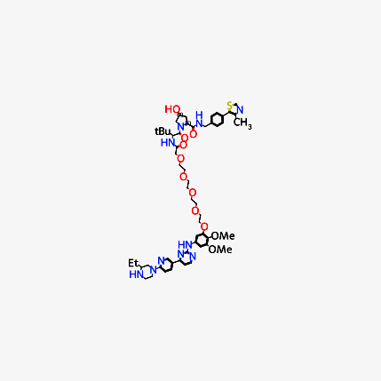 CCC1CN(c2ccc(-c3ccnc(Nc4cc(OC)c(OC)c(OCCOCCOCCOCCOCC(=O)NC(C(=O)N5C[C@H](O)C[C@H]5C(=O)NCc5ccc(-c6scnc6C)cc5)C(C)(C)C)c4)n3)cn2)CCN1